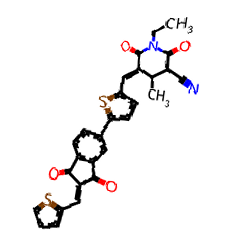 CCN1C(=O)/C(=C/c2ccc(-c3ccc4c(c3)C(=O)/C(=C/c3cccs3)C4=O)s2)C(C)C(C#N)C1=O